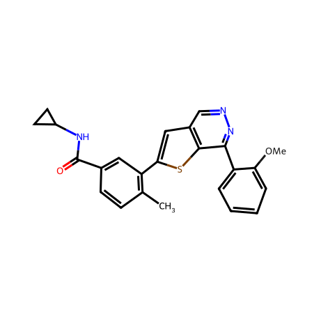 COc1ccccc1-c1nncc2cc(-c3cc(C(=O)NC4CC4)ccc3C)sc12